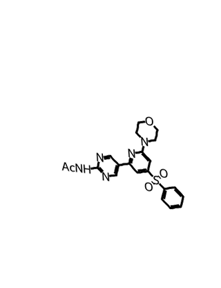 CC(=O)Nc1ncc(-c2cc(S(=O)(=O)c3ccccc3)cc(N3CCOCC3)n2)cn1